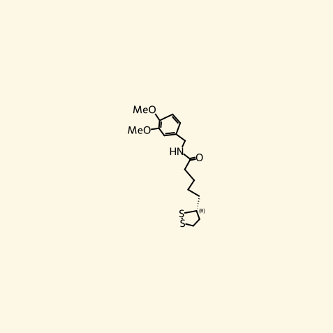 COc1ccc(CNC(=O)CCCC[C@@H]2CCSS2)cc1OC